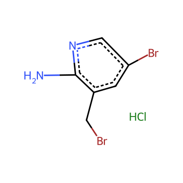 Cl.Nc1ncc(Br)cc1CBr